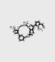 C[C@H]1CCOc2c(cnn2C)-c2nccc(n2)Nc2cc3c(cn2)c(-c2ccc(C=O)n2C)nn31